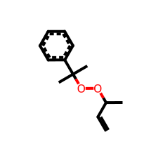 C=CC(C)OOC(C)(C)c1ccccc1